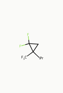 CC(C)C1(C(F)(F)F)CC1(F)F